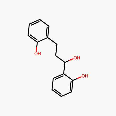 Oc1ccccc1CCC(O)c1ccccc1O